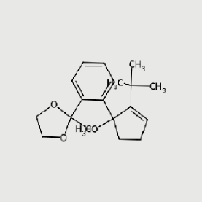 CC(C)(C)C1=CCCC1(O)c1ccccc1C1(C)OCCO1